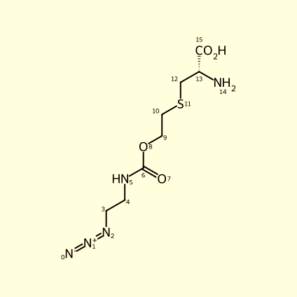 [N-]=[N+]=NCCNC(=O)OCCSC[C@@H](N)C(=O)O